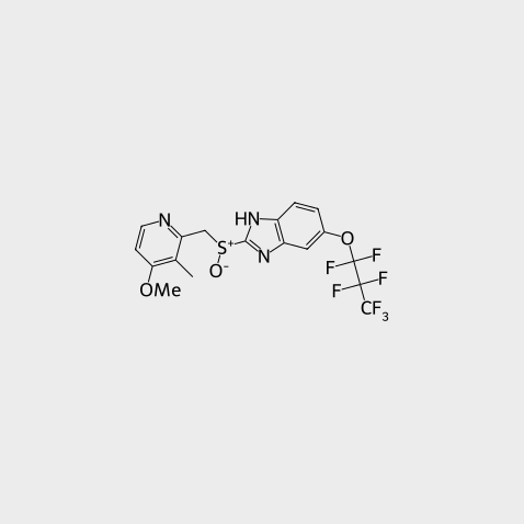 COc1ccnc(C[S+]([O-])c2nc3cc(OC(F)(F)C(F)(F)C(F)(F)F)ccc3[nH]2)c1C